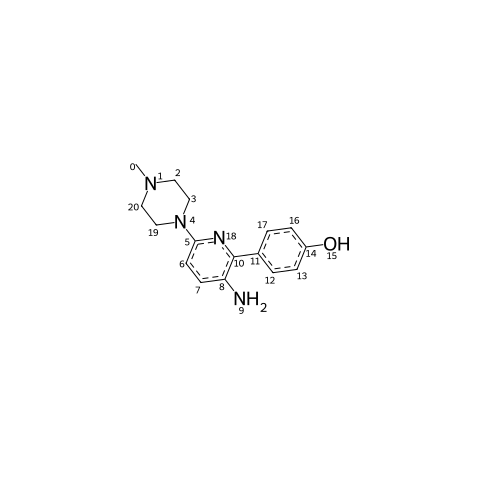 CN1CCN(c2ccc(N)c(-c3ccc(O)cc3)n2)CC1